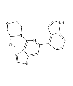 C[C@@H]1COCCN1c1nc(-c2ccnc3[nH]ccc23)cc2[nH]cnc12